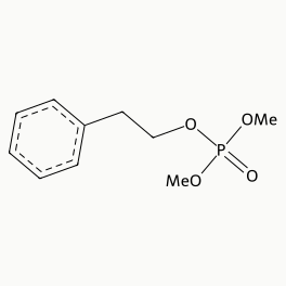 COP(=O)(OC)OCCc1ccccc1